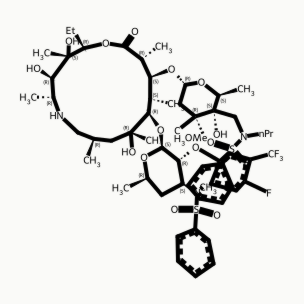 CCCN(C[C@]1(O)[C@H](C)O[C@@H](O[C@H]2[C@H](C)[C@@H](O[C@@H]3O[C@H](C)C[C@H](N(C)S(=O)(=O)c4ccccc4)[C@H]3Oc3ccc(F)c(C(F)(F)F)c3)[C@](C)(O)C[C@@H](C)CN[C@H](C)[C@@H](O)[C@](C)(O)[C@@H](CC)OC(=O)[C@@H]2C)C[C@@]1(C)OC)S(=O)(=O)c1ccccc1